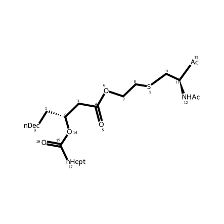 CCCCCCCCCCC[C@H](CC(=O)OCCSC[C@H](NC(C)=O)C(C)=O)OC(=O)CCCCCCC